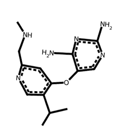 CNCc1cc(Oc2cnc(N)nc2N)c(C(C)C)cn1